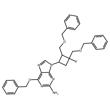 Nc1nc(OCc2ccccc2)c2ncn(C3CC(F)(COCc4ccccc4)C3COCc3ccccc3)c2n1